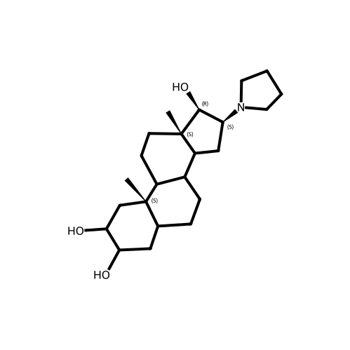 C[C@]12CC(O)C(O)CC1CCC1C2CC[C@@]2(C)C1C[C@H](N1CCCC1)[C@@H]2O